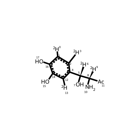 [2H]c1c([2H])c([C@@]([2H])(O)[C@@]([2H])(N)C(C)=O)c([2H])c(O)c1O